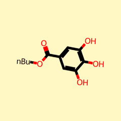 CCCCOC(=O)c1cc(O)c(O)c(O)c1